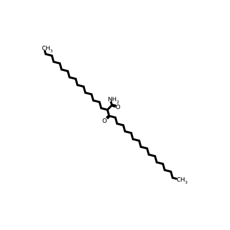 CCCCCCCCCCCCCCCCCC(=O)C(CCCCCCCCCCCCCCCC)C(N)=O